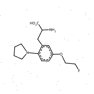 NC(Cc1cc(OCCF)ccc1N1CCCC1)C(=O)O